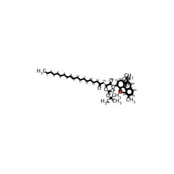 CCCCCCCC/C=C/CCCCCCCC(=O)C[C@@H](OC(=O)OC(C)(C)C)C(=O)OC1=CC[C@@]2(O)[C@H]3Cc4ccc(C)c5c4[C@@]2(CCN3C)[C@H]1O5